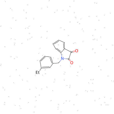 CCc1cccc(CN2C(=O)C(=O)c3ccccc32)c1